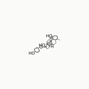 Cc1ccc(O)c2c1CC[C@@H]1[C@@H]2CC[C@@]2(C)[C@H]1CC[C@@]2(O)COc1ccc(O)cc1